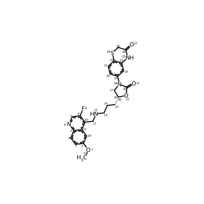 COc1ccc2ncc(F)c(CNCCC[C@@H]3CN(c4ccc5c(c4)NC(=O)CS5)C(=O)O3)c2c1